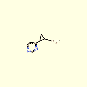 CCOC(=O)C1CC1c1ccncn1